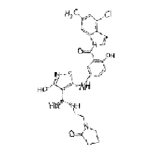 Cc1cc(Cl)c2ccn(C(=O)c3cc(Nc4snc(O)c4C(=N)NCCN4CCCC4=O)ccc3O)c2c1